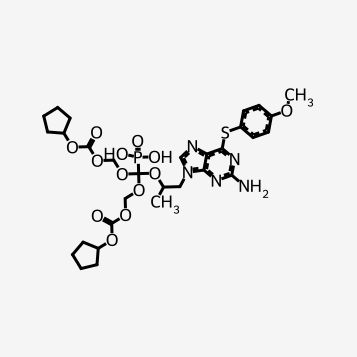 COc1ccc(Sc2nc(N)nc3c2ncn3CC(C)OC(OCOC(=O)OC2CCCC2)(OCOC(=O)OC2CCCC2)P(=O)(O)O)cc1